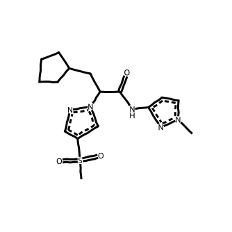 Cn1ccc(NC(=O)C(CC2CCCC2)n2cc(S(C)(=O)=O)cn2)n1